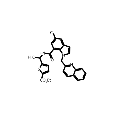 CCOC(=O)c1ccc(C(C)NC(=O)c2cc(Cl)cc3ccn(Cc4ccc5ccccc5n4)c23)s1